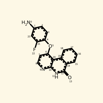 Nc1ccc(Oc2ccnc3[nH]c(=O)c4ccccc4c23)c(F)c1